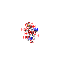 CC(=O)N[C@@H](C=O)[C@@H](O)[C@H](OC1O[C@H](CO)[C@H](OS(=O)(=O)O)[C@H](O)[C@H]1NC(C)=O)[C@H](O)CO